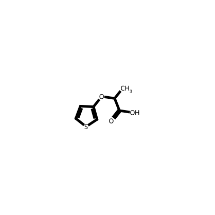 CC(Oc1ccsc1)C(=O)O